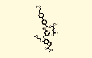 CNC(=O)n1ccc2cc(Oc3ccnc(NC(=O)c4ccc(C5CCN(CCO)CC5)cc4)c3)c(OCCOC)cc21.O=C(O)/C=C/C(=O)O